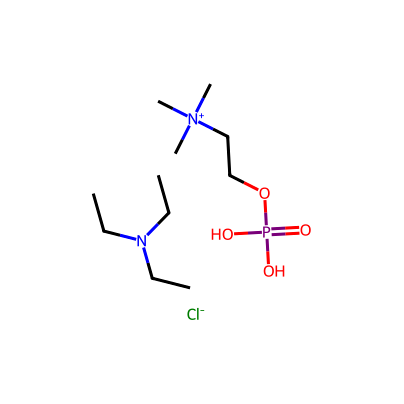 CCN(CC)CC.C[N+](C)(C)CCOP(=O)(O)O.[Cl-]